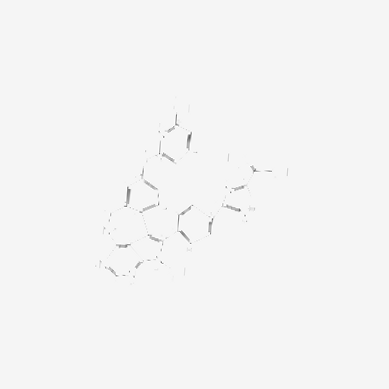 C=C(C)c1nc(-c2ccc(-c3c4c5c(ncnc5n3C)NCc3cc(Oc5cccc(C)n5)ccc3-4)cc2)no1